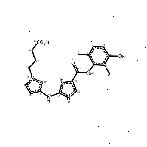 Cc1ccc(O)c(C)c1NC(=O)c1cnc(Nc2ccn(CCCC(=O)O)n2)s1